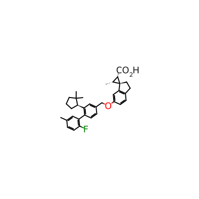 Cc1ccc(F)c(-c2ccc(COc3ccc4c(c3)[C@]3(CC4)[C@H](C)[C@@H]3C(=O)O)cc2[C@H]2CCCC2(C)C)c1